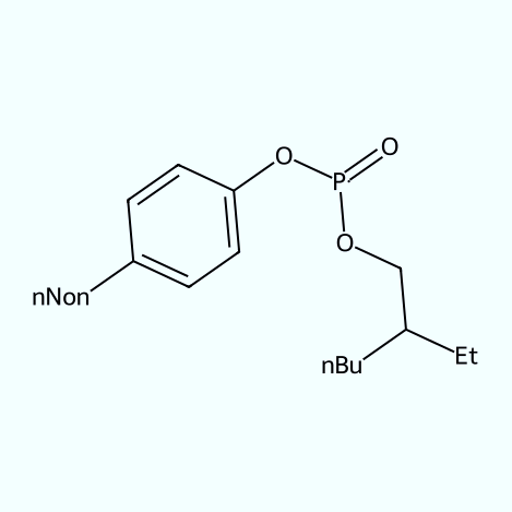 CCCCCCCCCc1ccc(O[P](=O)OCC(CC)CCCC)cc1